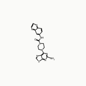 Nc1nc(N2CCN(C(=O)Nc3ccc4nccnc4c3)CC2)c2ncsc2n1